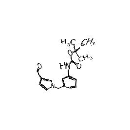 CC(C)(C)OC(=O)Nc1cccc(Cn2ccc(C=O)c2)c1